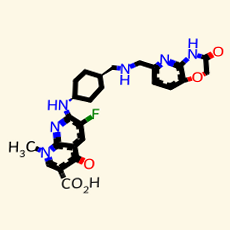 Cn1cc(C(=O)O)c(=O)c2cc(F)c(N[C@H]3CC[C@H](CNCc4ccc5c(n4)NC(=O)CO5)CC3)nc21